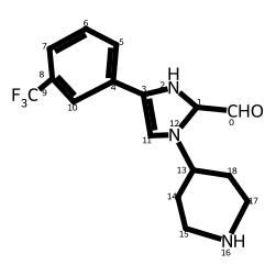 O=CC1NC(c2cccc(C(F)(F)F)c2)=CN1C1CCNCC1